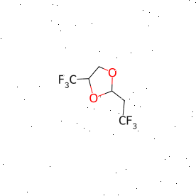 FC(F)(F)CC1OCC(C(F)(F)F)O1